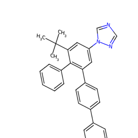 CC(C)(C)c1cc(-n2cncn2)cc(-c2ccc(-c3ccccc3)cc2)c1-c1ccccc1